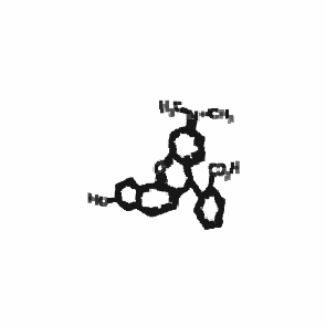 C[N+](C)=c1ccc2c(-c3ccccc3C(=O)O)c3ccc4cc(O)ccc4c3oc-2c1